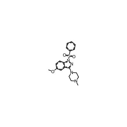 COc1ccc2c(c1)c(N1CCN(C)CC1)nn2S(=O)(=O)c1ccccc1